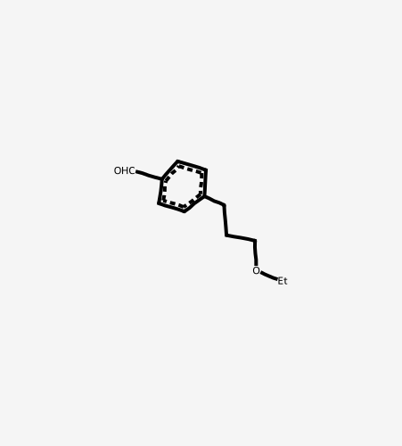 CCOCCCc1ccc(C=O)cc1